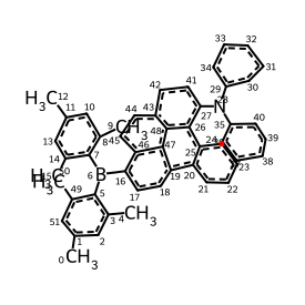 Cc1cc(C)c(B(c2c(C)cc(C)cc2C)c2ccc3c4ccccc4c4c(N(c5ccccc5)c5ccccc5)ccc5ccc2c3c54)c(C)c1